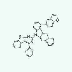 c1ccc(-c2nc(-n3c4cc5ccccc5cc4c4c(-c5ccc6occc6c5)cccc43)nc3sc4ccccc4c23)cc1